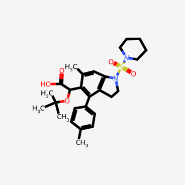 Cc1ccc(-c2c3c(cc(C)c2C(OC(C)(C)C)C(=O)O)N(S(=O)(=O)N2CCCCC2)CC3)cc1